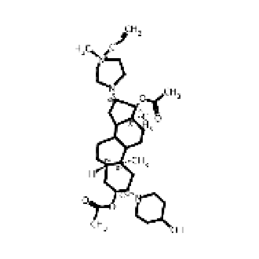 C=CC[N+]1(C)CCN([C@H]2CC3C4CC[C@H]5C[C@H](OC(C)=O)[C@@H](N6CCC(O)CC6)C[C@]5(C)C4CC[C@]3(C)[C@H]2OC(C)=O)CC1